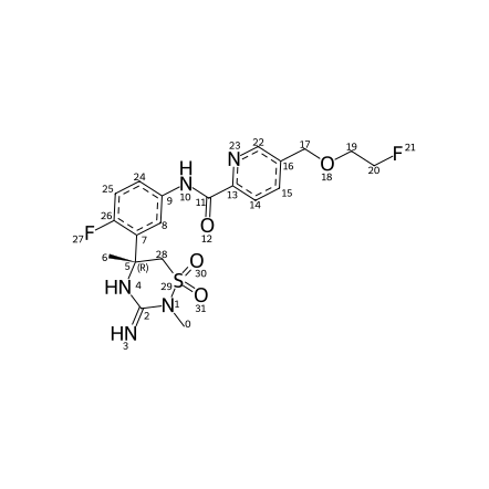 CN1C(=N)N[C@](C)(c2cc(NC(=O)c3ccc(COCCF)cn3)ccc2F)CS1(=O)=O